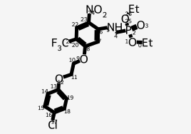 CCOP(=O)(CNc1cc(OCCOc2ccc(Cl)cc2)c(C(F)(F)F)cc1[N+](=O)[O-])OCC